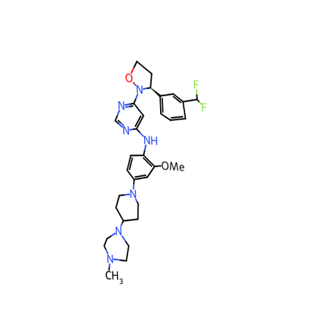 COc1cc(N2CCC(N3CCN(C)CC3)CC2)ccc1Nc1cc(N2OCC[C@H]2c2cccc(C(F)F)c2)ncn1